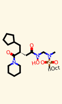 CCCCCCCCS(=O)(=O)N(C)CN(O)C(=O)C[C@@H](CC1CCCC1)C(=O)N1CCCCC1